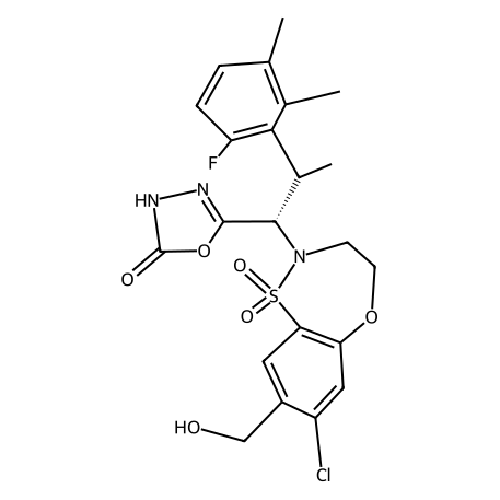 Cc1ccc(F)c(C(C)[C@@H](c2n[nH]c(=O)o2)N2CCOc3cc(Cl)c(CO)cc3S2(=O)=O)c1C